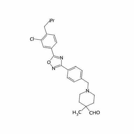 CC(C)Cc1ccc(-c2nc(-c3ccc(CN4CCC(C)(C=O)CC4)cc3)no2)cc1Cl